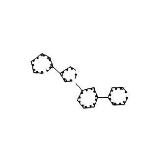 c1ccc(-c2cnn(-c3cccc(-c4ccncc4)c3)c2)nc1